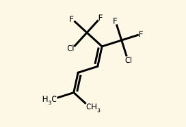 CC(C)=CC=C(C(F)(F)Cl)C(F)(F)Cl